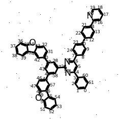 c1ccc(-c2cc(-c3ccc(-c4ccc(-c5ccccn5)cc4)cc3)nc(-c3cc(-c4ccc5oc6ccccc6c5c4)cc(-c4ccc5oc6ccccc6c5c4)c3)n2)cc1